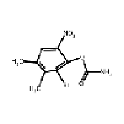 Cc1cc([N+](=O)[O-])c(OC(N)=O)c(Br)c1C